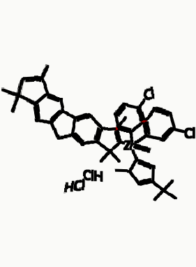 Cl.Cl.[CH2]=[Zr]([C]1=CC(C(C)(C)C)=CC1C)([C]1=C(C)c2cc3c(cc2C1(C)C)Cc1cc2c(cc1-3)C(C)=CC2(C)C)([c]1cccc(Cl)c1)[c]1cccc(Cl)c1